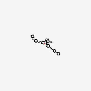 CCCCn1c2c(c3ccc(C#Cc4ccc(-c5ccccc5)cc4)cc31)C1C=CC(/C=C/c3ccc(Cc4ccccc4)cc3)=CC1N2C